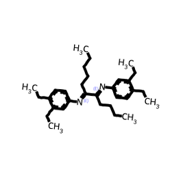 CCCCCC(=N\c1ccc(CC)c(CC)c1)/C(CCCC)=N/c1ccc(CC)c(CC)c1